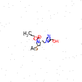 C=CCOC(=O)N1C[C@@H](SC(C)=O)C[C@H]1CCn1cnc(CO)c1